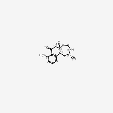 Cc1cccc2c1C(=O)N[C@@H]1CCN[C@H](C)CN21